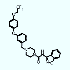 O=C(Nc1noc2ccccc12)N1CCN(Cc2cccc(Oc3ccc(OCC(F)(F)F)cc3)c2)CC1